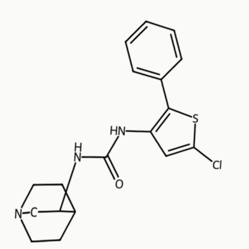 O=C(Nc1cc(Cl)sc1-c1ccccc1)NC1CN2CCC1CC2